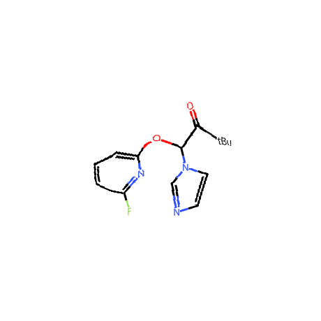 CC(C)(C)C(=O)C(Oc1cccc(F)n1)n1ccnc1